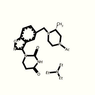 CC(=O)N1CCN(Cc2ccc3onc(N4CCC(=O)NC4=O)c3c2)[C@H](C)C1.CCN(CC)CC